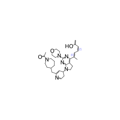 C=C(O)/C=C\C=C(/C)c1nc(N2CCOCC2)nc2c1CCN2C1C=C(CC2CCCN(C(C)=O)CC2)N=CC1